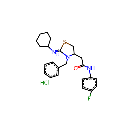 Cl.O=C(CC1CS/C(=N\C2CCCCC2)N1Cc1ccccc1)Nc1ccc(F)cc1